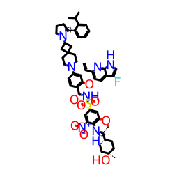 C=Cc1nc2[nH]cc(F)c2cc1Oc1cc(N2CCC3(CC2)CC(N2CCC[C@H]2c2ccccc2C(C)C)C3)ccc1C(=O)NS(=O)(=O)c1cc2c(c([N+](=O)[O-])c1)N[C@@H]([C@H]1CC[C@](C)(O)CC1)CO2